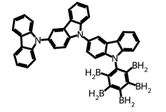 Bc1c(B)c(B)c(-n2c3ccccc3c3cc(-n4c5ccccc5c5cc(-n6c7ccccc7c7ccccc76)ccc54)ccc32)c(B)c1B